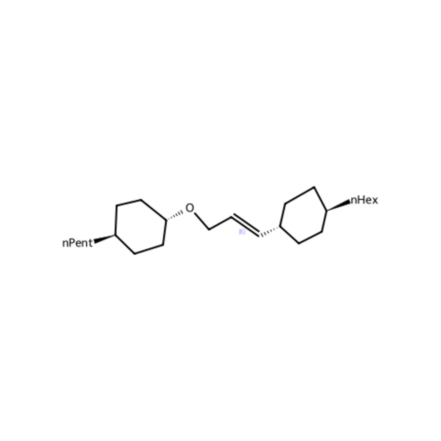 CCCCCC[C@H]1CC[C@H](/C=C/CO[C@H]2CC[C@H](CCCCC)CC2)CC1